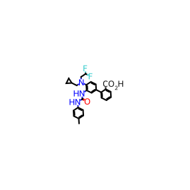 Cc1ccc(NC(=O)Nc2cc(-c3ccccc3C(=O)O)ccc2N(CC(F)F)CC2CC2)cc1